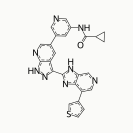 O=C(Nc1cncc(-c2cnc3[nH]nc(-c4nc5c(-c6ccsc6)cncc5[nH]4)c3c2)c1)C1CC1